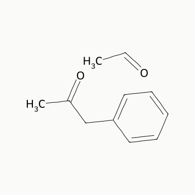 CC(=O)Cc1ccccc1.CC=O